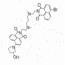 CN(CCCN(C)CCN1C(=O)c2cccc3c(N4CCCC(O)C4)ccc(c23)C1=O)CCN1C(=O)c2cccc3c(Br)ccc(c23)C1=O